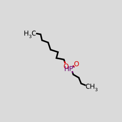 CCCCCCCCO[PH](=O)CCCC